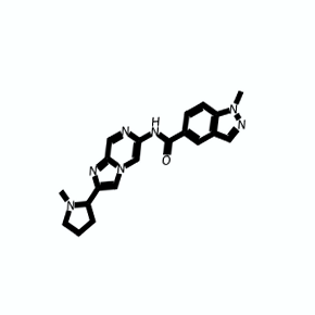 CN1CCCC1c1cn2cc(NC(=O)c3ccc4c(cnn4C)c3)ncc2n1